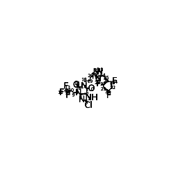 O=c1c2[nH]c(Cl)nc2n(CCC(F)(F)F)c(=O)n1CCCn1nnc(Cc2c(F)cc(F)cc2F)n1